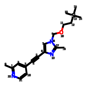 Cc1cc(C#Cc2cn(COCC[Si](C)(C)C)c(C)n2)ccn1